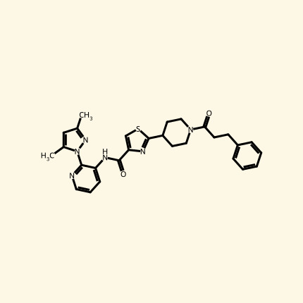 Cc1cc(C)n(-c2ncccc2NC(=O)c2csc(C3CCN(C(=O)CCc4ccccc4)CC3)n2)n1